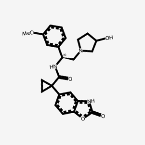 COc1cccc([C@@H](CN2CCC(O)C2)NC(=O)C2(c3ccc4oc(=O)[nH]c4c3)CC2)c1